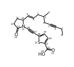 CCC#CCC(C)C/C=C/C1CCC(=O)N1C#Cc1ccc(C(=O)O)s1